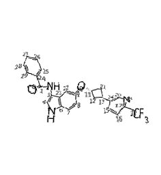 O=C(Nc1c[nH]c2ccc(O[C@H]3C[C@H](c4ccc(C(F)(F)F)nc4)C3)cc12)c1ccccc1